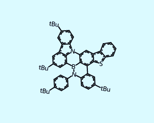 CC(C)(C)c1ccc(N2B3c4c(cc5c(sc6ccccc65)c4-c4cc(C(C)(C)C)ccc42)-n2c4ccc(C(C)(C)C)cc4c4cc(C(C)(C)C)cc3c42)cc1